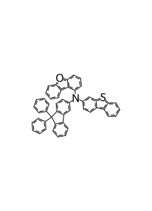 c1ccc(C2(c3ccccc3)c3ccccc3-c3cc(N(c4ccc5c(c4)sc4ccccc45)c4cccc5oc6ccccc6c45)ccc32)cc1